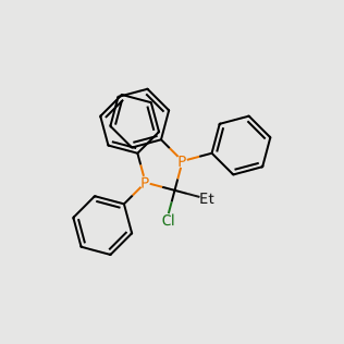 CCC(Cl)(P(c1ccccc1)c1ccccc1)P(c1ccccc1)c1ccccc1